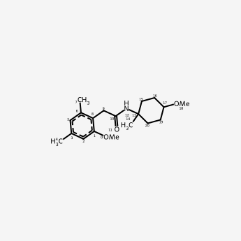 COc1cc(C)cc(C)c1CC(=O)NC1(C)CCC(OC)CC1